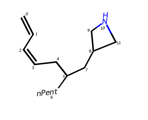 C=C/C=C\CC(CCCCC)CC1CNC1